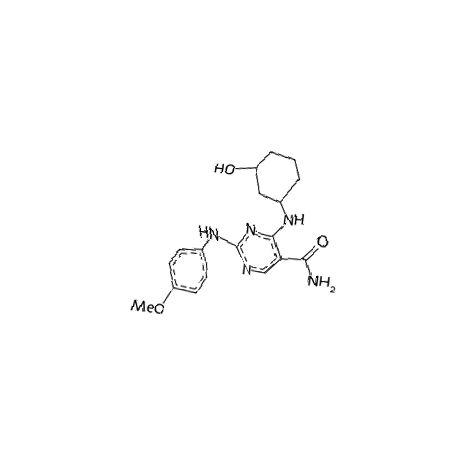 COc1ccc(Nc2ncc(C(N)=O)c(NC3CCCC(O)C3)n2)cc1